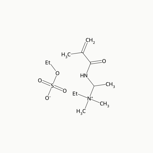 C=C(C)C(=O)NC(C)[N+](C)(C)CC.CCOS(=O)(=O)[O-]